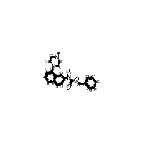 CN1CCN(c2cccc3ccc(NC(=O)OCc4ccccc4)cc23)CC1